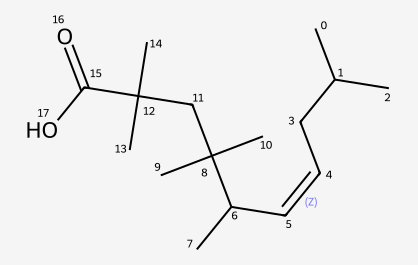 CC(C)C/C=C\C(C)C(C)(C)CC(C)(C)C(=O)O